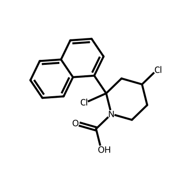 O=C(O)N1CCC(Cl)CC1(Cl)c1cccc2ccccc12